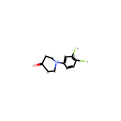 O=C1CCN(c2ccc(F)c(F)c2)CC1